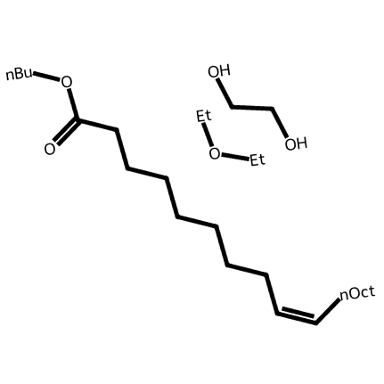 CCCCCCCC/C=C\CCCCCCCC(=O)OCCCC.CCOCC.OCCO